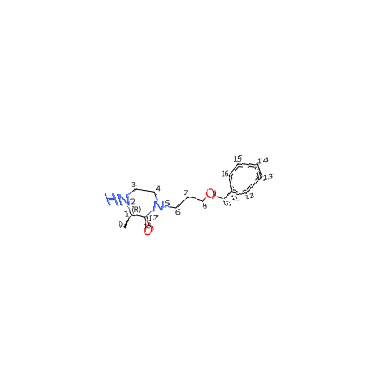 C[C@H]1NCCN(CCCOCc2ccccc2)C1=O